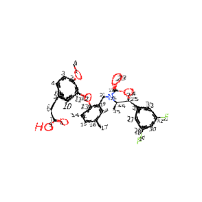 COc1ccc(CC(=O)O)cc1Oc1ccc(C)cc1CN1C(=O)O[C@@H](c2cc(F)cc(F)c2)[C@H]1C